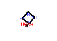 C1=Cc2cc3ccc(cc4nc(cc5ccc(cc1n2)[nH]5)C=C4)[nH]3.[OH][Sn][OH]